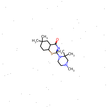 CN1CCN(C2=NC(=O)C3CC(C)(C)CCC3S2)C(C)(C)C1